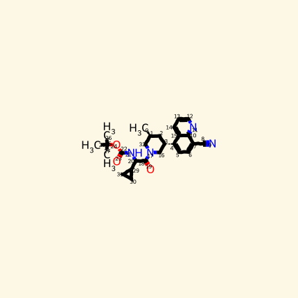 C[C@H]1C[C@H](c2ccc(C#N)c3ncccc23)CN(C(=O)C(NC(=O)OC(C)(C)C)C2CC2)C1